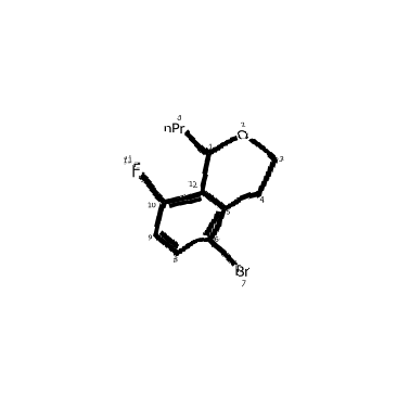 CCCC1OCCc2c(Br)ccc(F)c21